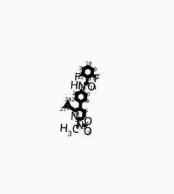 Cn1c(=O)oc2cc(-c3ccc(NC(=O)c4c(F)cccc4F)cc3)c(C3CC3)nc21